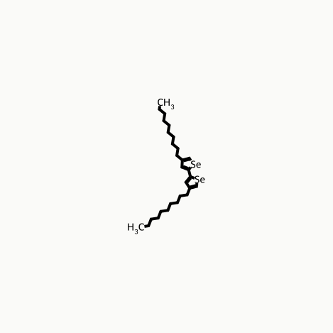 CCCCCCCCCCc1c[se]c(-c2cc(CCCCCCCCCC)c[se]2)c1